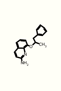 CC(Cc1ccccc1)Oc1cccc2ccc(N)nc12